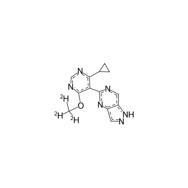 [2H]C([2H])([2H])Oc1ncnc(C2CC2)c1-c1ncc2[nH]ncc2n1